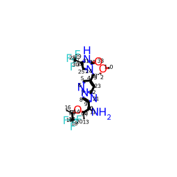 COC[C@H](c1cnn2cc([C@@H](N)[C@@H](C)O[C@H](C)C(F)(F)F)nc2c1)N1C[C@@H](C(F)(F)F)NC1=O